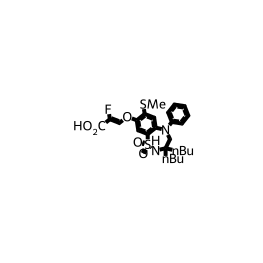 CCCCC1(CCCC)CN(c2ccccc2)c2cc(SC)c(O/C=C(\F)C(=O)O)cc2S(=O)(=O)N1